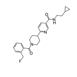 O=C(NCCC1CC1)c1ccc(C2CCN(C(=O)c3ccccc3CF)CC2)nc1